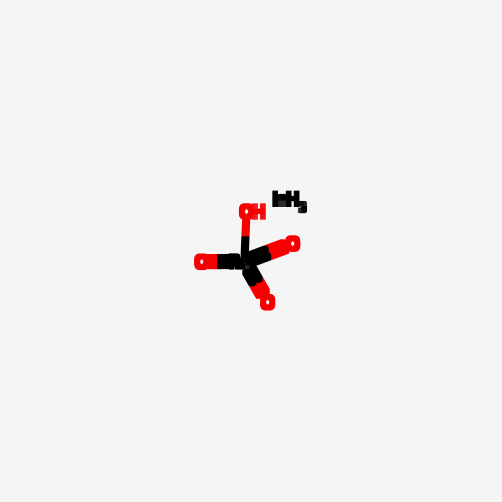 [InH3].[O]=[Re](=[O])(=[O])[OH]